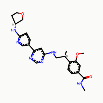 CNC(=O)c1ccc([C@H](C)CNc2cc(-c3ccc(N[C@@H]4CCOC4)nc3)ncn2)c(OC)c1